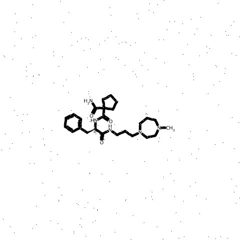 CN1CCCN(CCCNC(=O)[C@@H](Cc2ccccc2)NC(=O)C2(C(N)=O)CCCC2)CC1